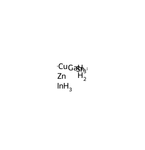 [Cu].[GaH3].[InH3].[SnH2].[Zn]